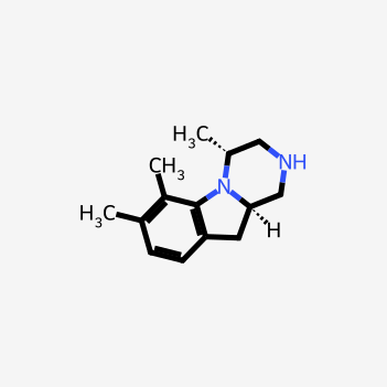 Cc1ccc2c(c1C)N1[C@@H](CNC[C@H]1C)C2